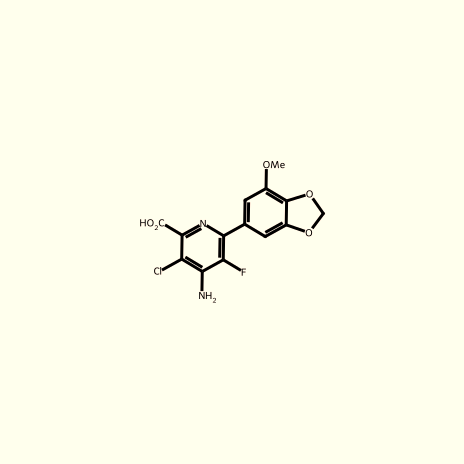 COc1cc(-c2nc(C(=O)O)c(Cl)c(N)c2F)cc2c1OCO2